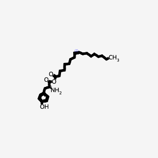 CCCCCCCC/C=C\CCCCCCCC(=O)OC(=O)[C@@H](N)Cc1ccc(O)cc1